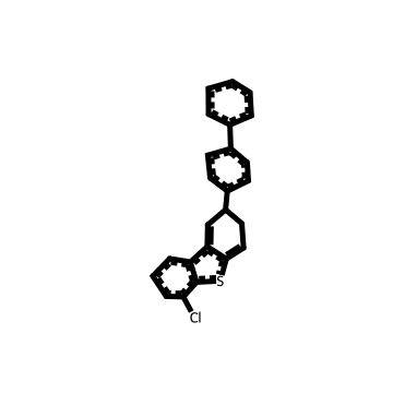 Clc1cccc2c3c(sc12)=CCC(c1ccc(-c2ccccc2)cc1)C=3